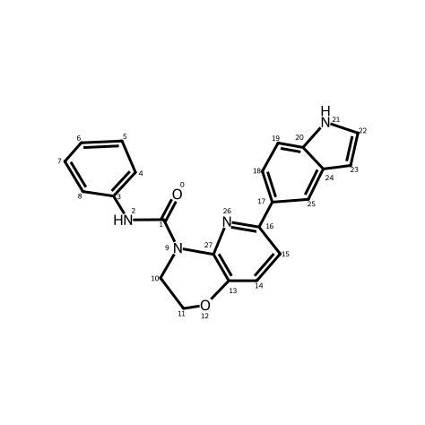 O=C(Nc1ccccc1)N1CCOc2ccc(-c3ccc4[nH]ccc4c3)nc21